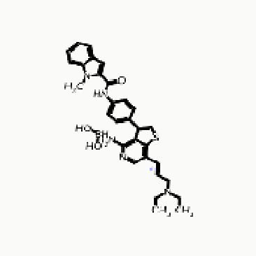 CCN(CC)C/C=C/c1cnc(N)c2c(-c3ccc(NC(=O)c4cc5ccccc5n4C)cc3)csc12.OBO